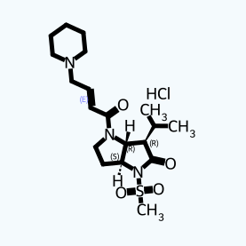 CC(C)[C@H]1C(=O)N(S(C)(=O)=O)[C@H]2CCN(C(=O)/C=C/CN3CCCCC3)[C@H]12.Cl